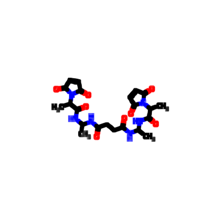 CC(NC(=O)CCC(=O)NC(C)NC(=O)C(C)N1C(=O)C=CC1=O)NC(=O)C(C)N1C(=O)C=CC1=O